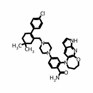 CC1(C)CCC(c2ccc(Cl)cc2)=C(CN2CCN(c3ccc(C(N)=O)c(N4CCCOc5nc6[nH]ccc6cc54)c3)CC2)C1